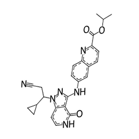 CC(C)OC(=O)c1ccc2cc(Nc3nn(C(CC#N)C4CC4)c4cc[nH]c(=O)c34)ccc2n1